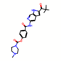 CN1CCN(C(=O)Oc2ccc(C(=O)Nc3cc4cc(C(=O)C(C)(C)C)[nH]c4cn3)cc2)CC1